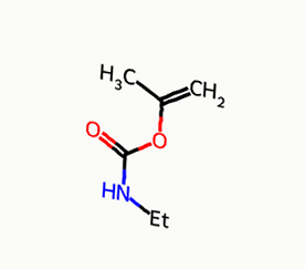 C=C(C)OC(=O)NCC